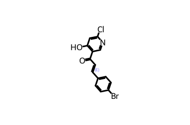 O=C(/C=C/c1ccc(Br)cc1)c1cnc(Cl)cc1O